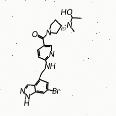 CC(O)N(C)[C@H]1CCN(C(=O)c2ccc(NCc3cc(Br)cc4[nH]ncc34)nc2)C1